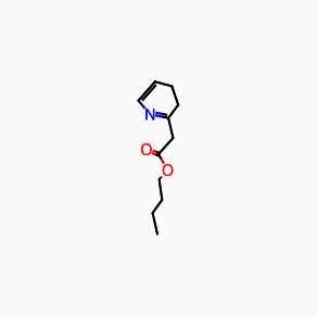 CCCCOC(=O)CC1=NC=CCC1